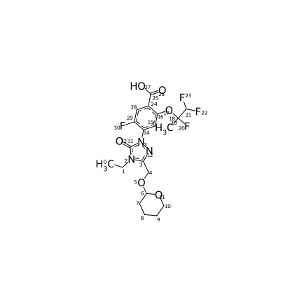 CCn1c(COC2CCCCO2)nn(-c2cc(OC(C)(F)C(F)F)c(C(=O)O)cc2F)c1=O